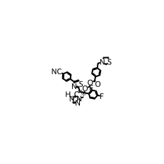 C[C@@H](c1nc(-c2ccc(C#N)cc2)cs1)[C@@](Cn1cncn1)(OCOC(=O)c1ccc(CN2CCSC2)cc1)c1ccc(F)cc1F